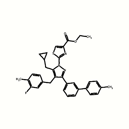 CCOC(=O)c1csc(-n2nc(-c3cccc(-c4ccc(C)cc4)c3)c(Cc3ccc(C)c(F)c3)c2CC2CC2)n1